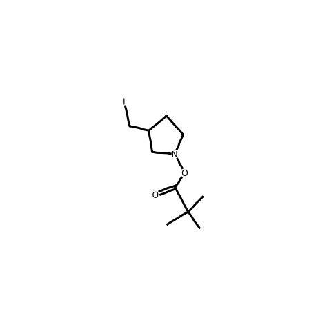 CC(C)(C)C(=O)ON1CCC(CI)C1